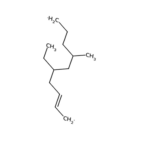 [CH2]/C=C/CC(CC)CC(C)CC[CH2]